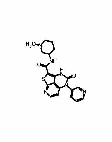 CN1CCCC(NC(=O)c2sc3nccc4c3c2NC(=O)N4c2cccnc2)C1